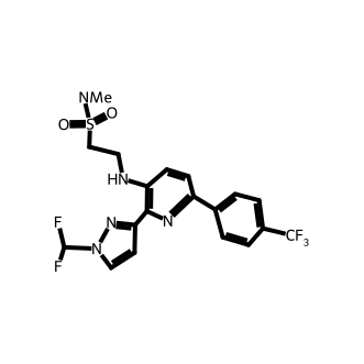 CNS(=O)(=O)CCNc1ccc(-c2ccc(C(F)(F)F)cc2)nc1-c1ccn(C(F)F)n1